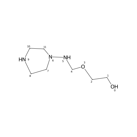 OCCOCNN1CCNCC1